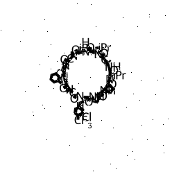 CC[C@H](C)[C@@H]1NC(=O)[C@H](CC(C)C)N(C)C(=O)C[C@@H](C)NC(=O)[C@H](C(C)C)N(C)C(=O)C2(CCCC2)NC(=O)[C@@H]2CCCN2C(=O)[C@H](CCc2ccc(C(F)(F)F)c(Cl)c2)NC(=O)CN(C)C(=O)[C@H](CC2CCCCC2)N(C)C(=O)CN(C)C(=O)CN(C)C1=O